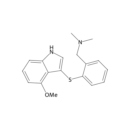 COc1cccc2[nH]cc(Sc3ccccc3CN(C)C)c12